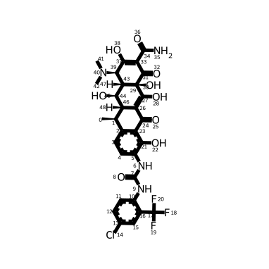 C[C@@H]1c2ccc(NC(=O)Nc3ccc(Cl)cc3C(F)(F)F)c(O)c2C(=O)C2=C(O)[C@@]3(O)C(=O)C(C(N)=O)=C(O)[C@H](N(C)C)[C@H]3[C@H](O)[C@H]21